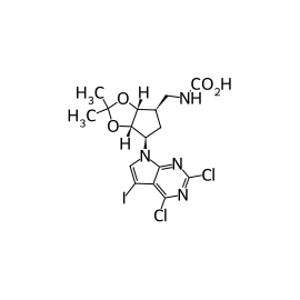 CC1(C)O[C@@H]2[C@@H](CNC(=O)O)C[C@@H](n3cc(I)c4c(Cl)nc(Cl)nc43)[C@@H]2O1